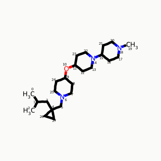 CC(C)CC1(CN2CCC(OC3CCN(C4CCN(C)CC4)CC3)CC2)CC1